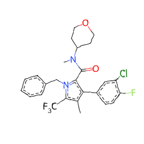 Cc1c(-c2ccc(F)c(Cl)c2)c(C(=O)N(C)C2CCOCC2)n(Cc2ccccc2)c1C(F)(F)F